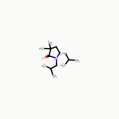 CC(C)C[C@H]1CC(C)(C)C(=O)N1CC(C)C